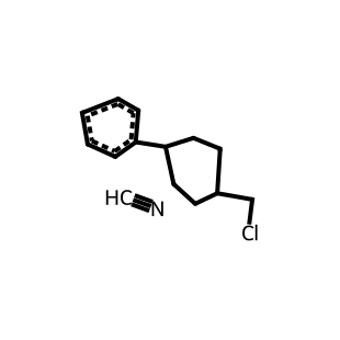 C#N.ClCC1CCC(c2ccccc2)CC1